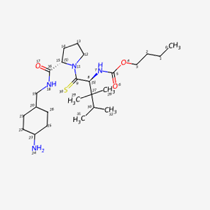 CCCCOC(=O)N[C@H](C(=S)N1CCC[C@H]1C(=O)NCC1CCC(N)CC1)C(C)(C)C(C)C